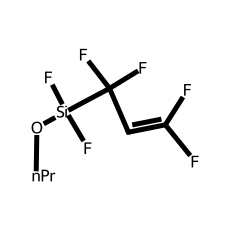 CCCO[Si](F)(F)C(F)(F)C=C(F)F